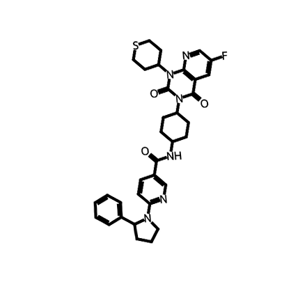 O=C(NC1CCC(n2c(=O)c3cc(F)cnc3n(C3CCSCC3)c2=O)CC1)c1ccc(N2CCCC2c2ccccc2)nc1